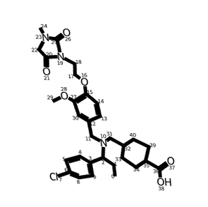 CCC(c1ccc(Cl)cc1)N(Cc1ccc(OCCN2C(=O)CN(C)C2=O)c(OC)c1)CC1CCC(C(=O)O)CC1